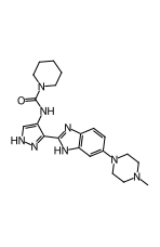 CN1CCN(c2ccc3nc(-c4n[nH]cc4NC(=O)N4CCCCC4)[nH]c3c2)CC1